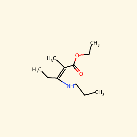 CCCNC(CC)=C(C)C(=O)OCC